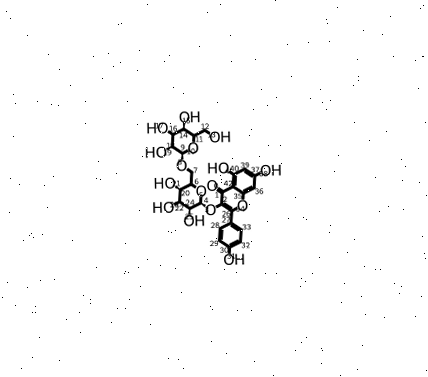 O=c1c(O[C@@H]2OC(CO[C@@H]3OC(CO)[C@H](O)C(O)[C@@H]3O)[C@H](O)C(O)[C@@H]2O)c(-c2ccc(O)cc2)oc2cc(O)cc(O)c12